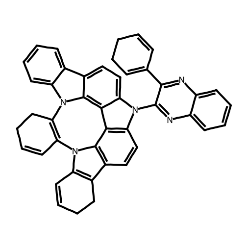 C1=CC(c2nc3ccccc3nc2-n2c3ccc4c5c(n6c7c(n8c9ccccc9c9ccc2c(c3c46)c98)CCC=C7)C=CCC5)=CCC1